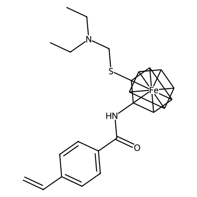 C=Cc1ccc(C(=O)N[C]23[CH]4[CH]5[CH]6[C]2(SCN(CC)CC)[Fe]54632789[CH]3[CH]2[CH]7[CH]8[CH]39)cc1